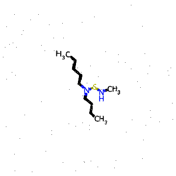 CCCCCN(CCCC)SNC